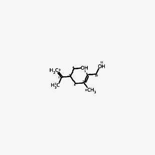 C=C(C)C(CO)CC(C)=CCO